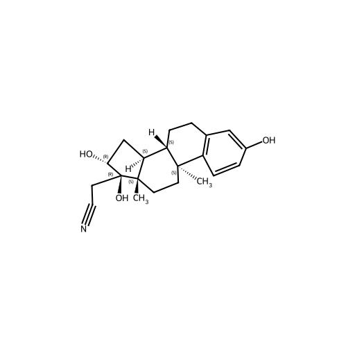 C[C@]12CC[C@]3(C)c4ccc(O)cc4CC[C@H]3[C@@H]1C[C@@H](O)[C@@]2(O)CC#N